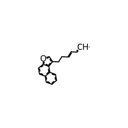 [CH]=CC=CCCc1coc2ccc3ccccc3c12